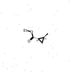 CCOC(=O)[C@H]1C[C@@H]1C